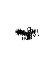 COc1nc(-c2c(C)c(Cl)cc3[nH]ncc23)c(F)c2nc(OC[C@]34CCC[C@H]3N(C3C[C@@H]5CS(=O)(=O)C[C@@H]5C3)CCC4)nc(N3CCOC[C@@](C)(O)C3)c12